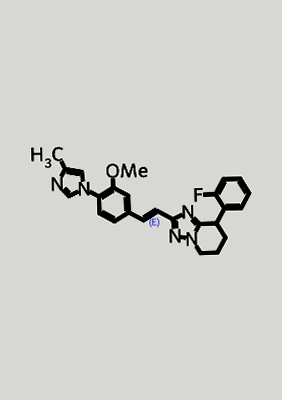 COc1cc(/C=C/c2nc3n(n2)CCCC3c2ccccc2F)ccc1-n1cnc(C)c1